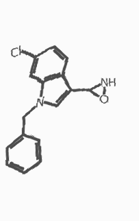 Clc1ccc2c(C3NO3)cn(Cc3ccccc3)c2c1